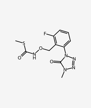 CSC(=O)NOCc1c(F)cccc1-n1nnn(C)c1=O